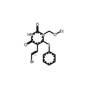 CCOCn1c(Sc2ccccc2)c(/C=C/Br)c(=O)[nH]c1=O